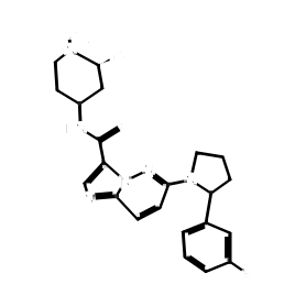 CC(C)(C)[C@H]1CC(NC(=O)c2cnc3ccc(N4CCCC4c4cccc(F)c4)nn23)CCN1C(=O)O